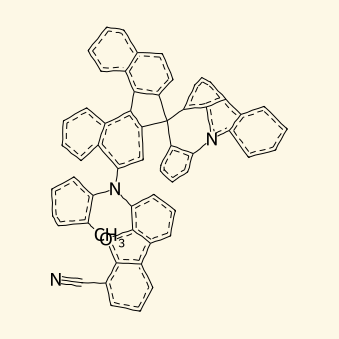 Cc1ccccc1N(c1cc2c(c3ccccc13)-c1c(ccc3ccccc13)C21c2ccccc2-n2c3ccccc3c3cccc1c32)c1cccc2c1oc1c(C#N)cccc12